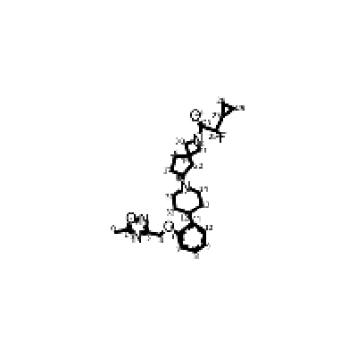 Cc1nc(COc2ccccc2C2CCN([C@@H]3CCC4(C3)CN(C(=O)C(F)C3CC3)C4)CC2)no1